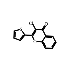 O=c1c(Cl)c(-c2cccs2)oc2ccccc12